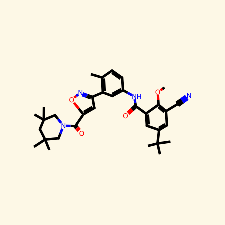 COc1c(C#N)cc(C(C)(C)C)cc1C(=O)Nc1ccc(C)c(-c2cc(C(=O)N3CC(C)(C)CC(C)(C)C3)on2)c1